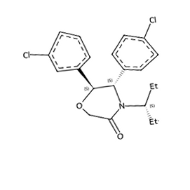 C[CH][C@@H](CC)N1C(=O)CO[C@@H](c2cccc(Cl)c2)[C@@H]1c1ccc(Cl)cc1